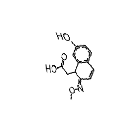 CO/N=C1/C=Cc2ccc(O)cc2C1CC(=O)O